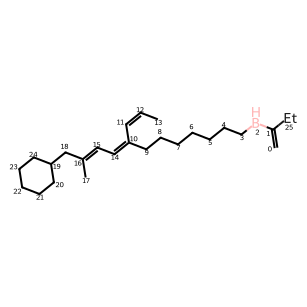 C=C(BCCCCCCCC(/C=C\C)=C/C=C(\C)CC1CCCCC1)CC